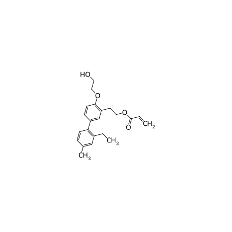 C=CC(=O)OCCc1cc(-c2ccc(C)cc2CC)ccc1OCCO